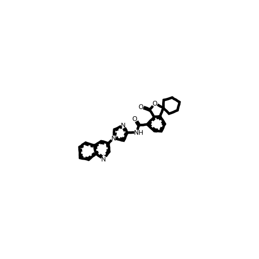 O=C(Nc1cn(-c2cnc3ccccc3c2)cn1)c1cccc2c1C(=O)OC21CCCCC1